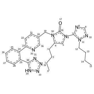 CCCCc1cn(-c2ncnn2CCCC)c(=O)n1Cc1ccc(-c2ccccc2-c2nnn[nH]2)nc1